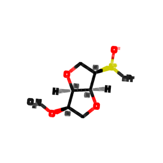 CCC[S+]([O-])[C@@H]1CO[C@H]2[C@@H]1OC[C@H]2O[N+](=O)[O-]